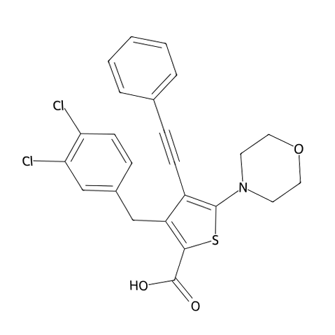 O=C(O)c1sc(N2CCOCC2)c(C#Cc2ccccc2)c1Cc1ccc(Cl)c(Cl)c1